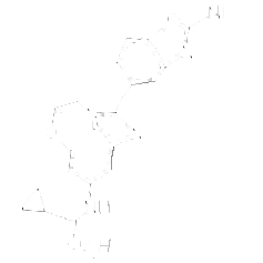 C[C@@H]1Cn2c(-c3ccc4oc(N)nc4c3)nc3cc(NC(C(=O)O)C4CC4)cc(c32)O1